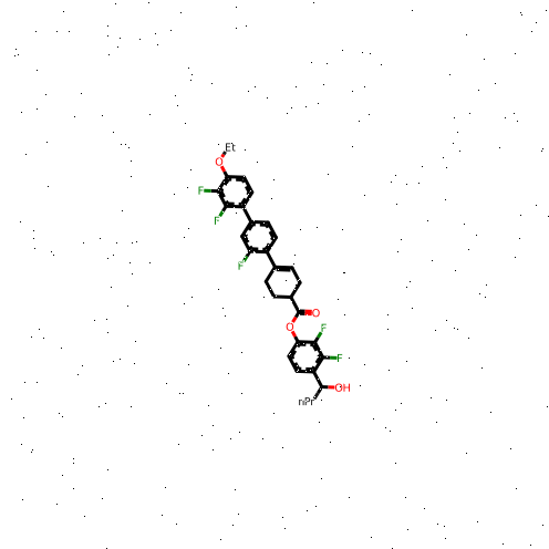 CCCC(O)c1ccc(OC(=O)C2CC=C(c3ccc(-c4ccc(OCC)c(F)c4F)cc3F)CC2)c(F)c1F